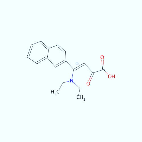 CCN(CC)/C(=C\C(=O)C(=O)O)c1ccc2ccccc2c1